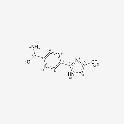 NC(=O)c1cnc(-c2nc(C(F)(F)F)c[nH]2)cn1